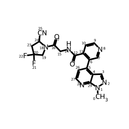 Cn1ncc2c(-c3cnccc3C(=O)NCC(=O)N3CC(F)(F)CC3C#N)ccnc21